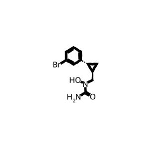 NC(=O)N(O)C[C@@H]1C[C@H]1c1cccc(Br)c1